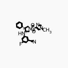 Cn1cnc(S(=O)(=O)N2C[C@@H](Nc3cc(F)cc(C#N)c3)[C@H](c3ccccc3)C2)c1